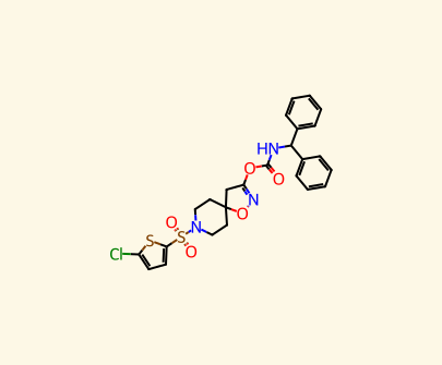 O=C(NC(c1ccccc1)c1ccccc1)OC1=NOC2(CCN(S(=O)(=O)c3ccc(Cl)s3)CC2)C1